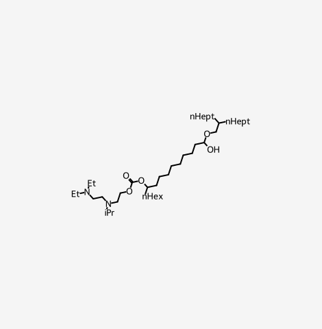 CCCCCCCC(CCCCCCC)COC(O)CCCCCCCCC(CCCCCC)OC(=O)OCCN(CCN(CC)CC)C(C)C